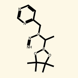 CC(B1OC(C)(C)C(C)(C)O1)N(Cc1ccncn1)N=N